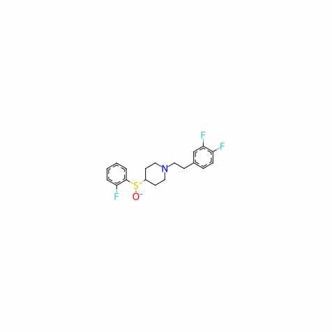 [O-][S+](c1ccccc1F)C1CCN(CCc2ccc(F)c(F)c2)CC1